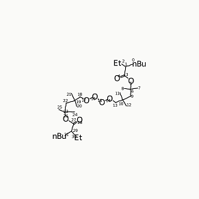 CCCCC(CC)C(=O)OC(C)(C)CC(C)(C)COOOOCC(C)(C)CC(C)(C)OC(=O)C(CC)CCCC